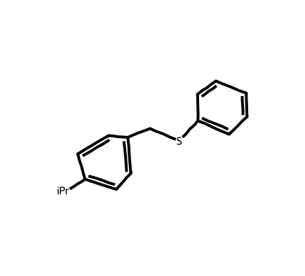 CC(C)c1ccc(CSc2ccccc2)cc1